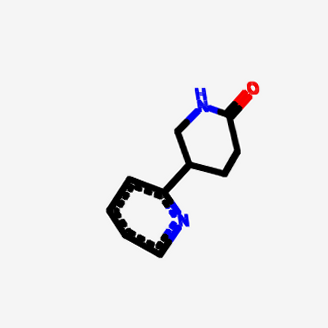 O=C1CCC(c2ccccn2)CN1